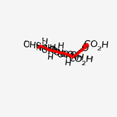 N[C@H]([C]=O)CCCCNC(=O)[C@@H](N)CCCCNC(=O)COCCOCCNC(=O)COCCOCCNC(=O)CC[C@H](NC(=O)CCCCCCCCCCOc1ccc(C(=O)O)cc1)C(=O)O